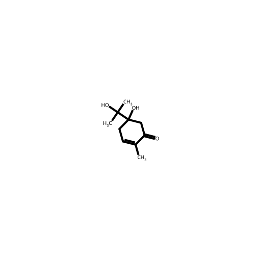 CC1=CCC(O)(C(C)(C)O)CC1=O